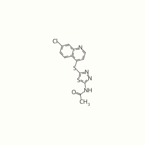 CC(=O)Nc1nnc(Sc2ccnc3cc(Cl)ccc23)s1